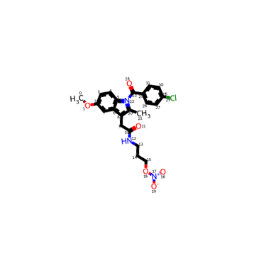 COc1ccc2c(c1)c(CC(=O)NCCCO[N+](=O)[O-])c(C)n2C(=O)c1ccc(Cl)cc1